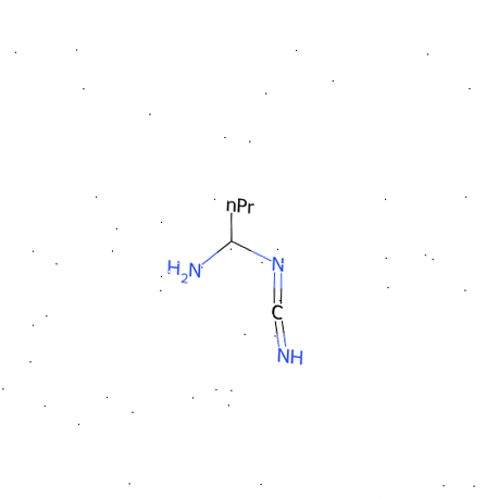 CCCC(N)N=C=N